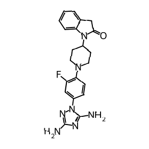 Nc1nc(N)n(-c2ccc(N3CCC(N4C(=O)Cc5ccccc54)CC3)c(F)c2)n1